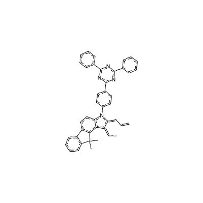 C=C/C=c1\c(=C/C)c2c3c(ccc2n1-c1ccc(-c2nc(-c4ccccc4)nc(-c4ccccc4)n2)cc1)-c1ccccc1C3(C)C